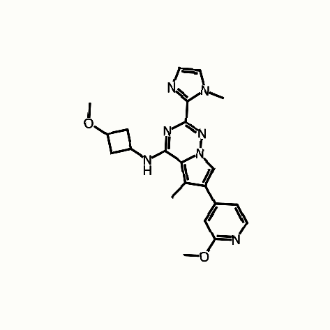 COc1cc(-c2cn3nc(-c4nccn4C)nc(NC4CC(OC)C4)c3c2C)ccn1